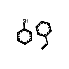 C=Cc1ccccc1.Sc1ccccc1